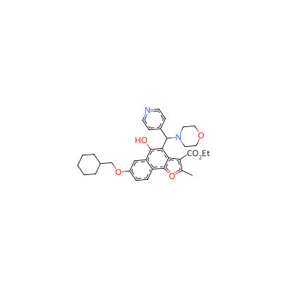 CCOC(=O)c1c(C)oc2c1c(C(c1ccncc1)N1CCOCC1)c(O)c1cc(OCC3CCCCC3)ccc12